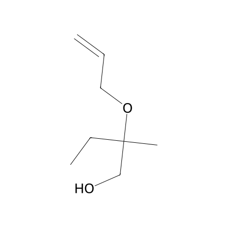 C=CCOC(C)(CC)CO